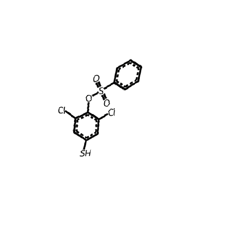 O=S(=O)(Oc1c(Cl)cc(S)cc1Cl)c1ccccc1